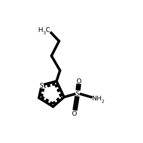 CCCCc1sccc1S(N)(=O)=O